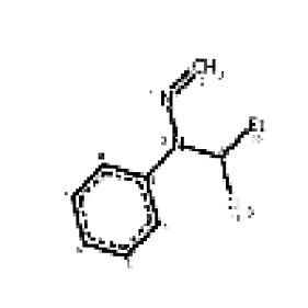 C=NN(c1ccccc1)C(CC)C(F)(F)F